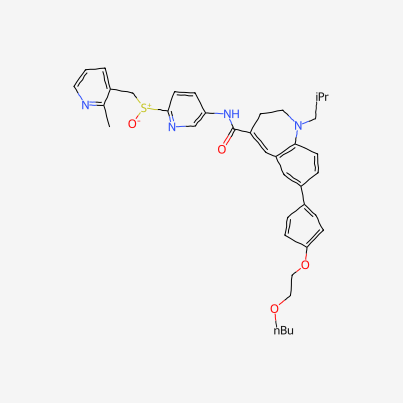 CCCCOCCOc1ccc(-c2ccc3c(c2)C=C(C(=O)Nc2ccc([S+]([O-])Cc4cccnc4C)nc2)CCN3CC(C)C)cc1